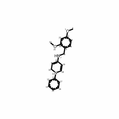 COc1ccc(CNC2=CCN(c3[c]cccc3)C=C2)c(OC)c1